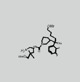 COCCCCC(O)(c1cccc(F)c1F)C1CCCN(C(=O)NC(CN)CC(C)(C)COC)C1